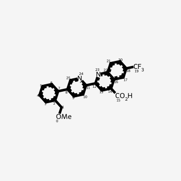 COCc1ccccc1-c1ccc(-c2cc(C(=O)O)c3cc(C(F)(F)F)ccc3n2)nc1